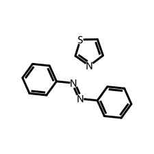 c1ccc(N=Nc2ccccc2)cc1.c1cscn1